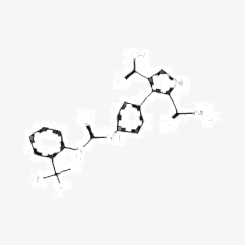 NC(=O)c1[nH]cc(C(=O)O)c1-c1ccc(NC(=O)Nc2ccccc2C(F)(F)F)cc1